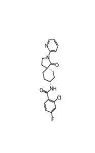 O=C(N[C@H]1CC[C@@]2(CCN(c3ccccn3)C2=O)CC1)c1ccc(F)cc1Cl